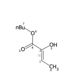 C/C=C(\O)C(=O)OCCCC